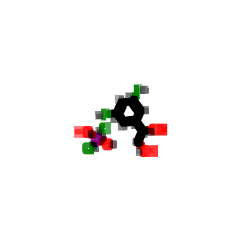 O=P(O)(Cl)Cl.OCC(O)c1cc(F)cc(F)c1